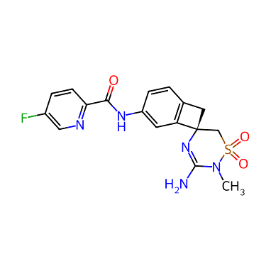 CN1C(N)=N[C@@]2(Cc3ccc(NC(=O)c4ccc(F)cn4)cc32)CS1(=O)=O